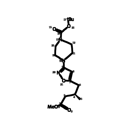 COC(=O)C[C@H](C)Cc1cc(N2CCN(C(=O)OC(C)(C)C)CC2)no1